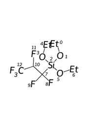 CCO[Si](OCC)(OCC)C(F)(F)C(F)C(F)(F)F